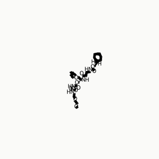 COCCOCCNS(=O)(=O)NC(=O)OC[C@H](CO[Si](C)(C)C(C)(C)C)NC(=O)CCCNC(=O)OC[C@@H]1[C@@H]2CC/C=C\CC[C@@H]21